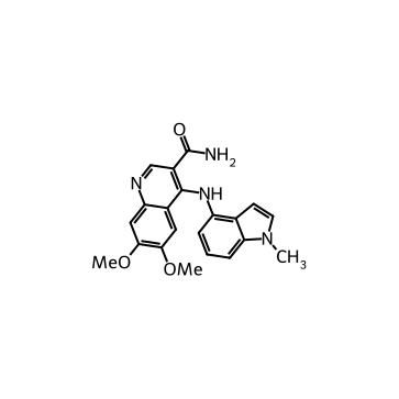 COc1cc2ncc(C(N)=O)c(Nc3cccc4c3ccn4C)c2cc1OC